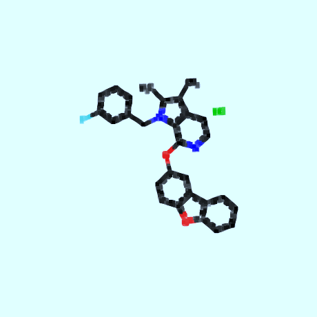 Cc1c(C)n(Cc2cccc(F)c2)c2c(Oc3ccc4oc5ccccc5c4c3)nccc12.Cl